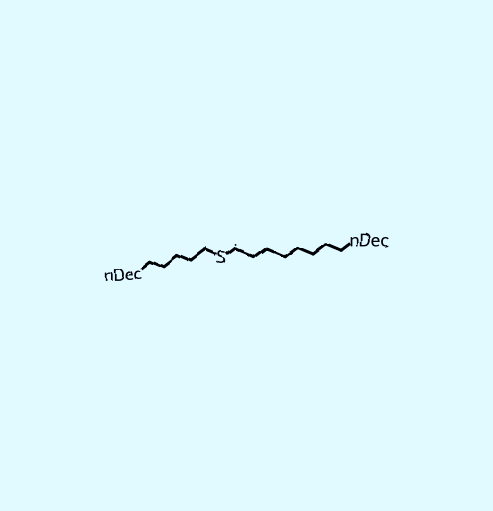 CCCCCCCCCCCCCCCCC[CH]SCCCCCCCCCCCCCCC